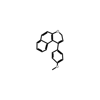 COc1ccc(C2=CCOc3ccc4ccccc4c32)cc1